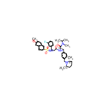 COc1ccc2cc(S(=O)(=O)N[C@H](CC(=O)N[C@H](Cc3ccc(CN4[C@H](C)CCC[C@@H]4C)cc3)C(=O)N(C)C(C)C)c3cccc(F)c3)ccc2c1